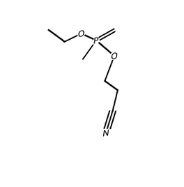 C=P(C)(OCC)OCCC#N